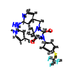 Cc1ccnc(Nc2cc(CN3C(=O)N(c4ccc(SC(F)(F)F)cc4)C(=O)C3(C)C)ccn2)c1